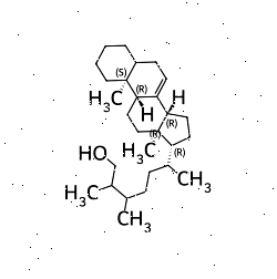 CC(CO)C(C)CCC(C)[C@H]1CC[C@H]2C3=CCC4CCCC[C@]4(C)[C@H]3CC[C@]12C